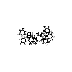 CS(c1ccccc1)(c1ccccc1)c1ccc2sc3c(c2c1)CC=C([SH](C)(c1ccccc1)(c1ccccc1)c1ccccc1)C=C3